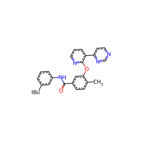 Cc1ccc(C(=O)Nc2cccc(C(C)(C)C)c2)cc1Oc1ncccc1-c1ccncn1